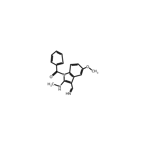 CNc1c(C=N)c2cc(OC)ccc2n1C(=O)c1ccccc1